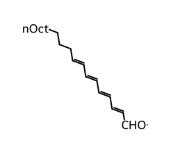 CCCCCCCCCCCC=CC=CC=CC=C[C]=O